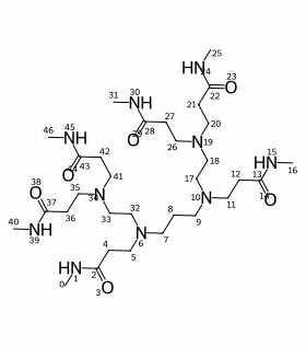 CNC(=O)CCN(CCCN(CCC(=O)NC)CCN(CCC(=O)NC)CCC(=O)NC)CCN(CCC(=O)NC)CCC(=O)NC